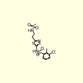 Cc1c(Cl)cccc1S(=O)(=O)Nc1nc(CCNS(C)(=O)=O)ns1